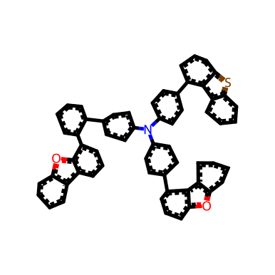 c1ccc(-c2cccc3c2oc2ccccc23)c(-c2ccc(N(c3ccc(-c4cccc5oc6ccccc6c45)cc3)c3ccc(-c4cccc5sc6ccccc6c45)cc3)cc2)c1